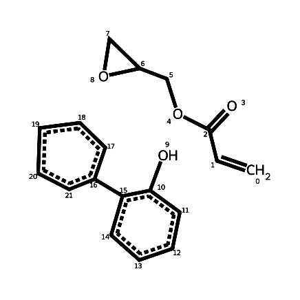 C=CC(=O)OCC1CO1.Oc1ccccc1-c1ccccc1